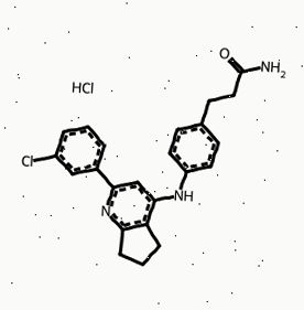 Cl.NC(=O)CCc1ccc(Nc2cc(-c3cccc(Cl)c3)nc3c2CCC3)cc1